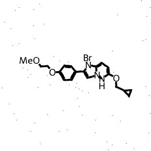 COCCOc1ccc(C2=CN3NC(OCC4CC4)=CC=C3N2Br)cc1